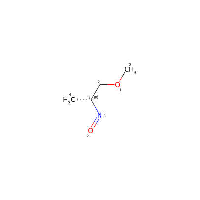 COC[C@@H](C)N=O